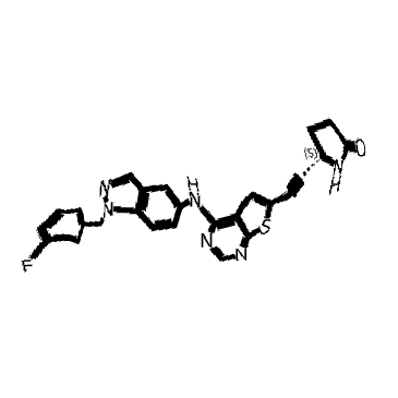 O=C1CC[C@@H](C#Cc2cc3c(Nc4ccc5c(cnn5Cc5cccc(F)c5)c4)ncnc3s2)N1